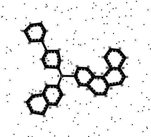 c1ccc(-c2ccc(N(c3ccc4ccccc4c3)c3ccc4c(ccc5ccc6ccccc6c54)c3)cc2)cc1